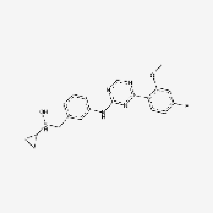 COc1cc(F)ccc1-c1ncnc(Nc2cccc(C[SH](O)C3CC3)c2)n1